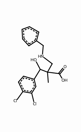 CC(CNCc1ccccc1)(C(=O)O)C(O)c1ccc(Cl)c(Cl)c1